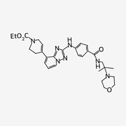 CCOC(=O)N1CC=C(c2cccn3nc(Nc4ccc(C(=O)NCC(C)(C)N5CCOCC5)cc4)nc23)CC1